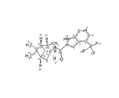 C[C@@H]1[C@@H](NC(=O)c2cc3c(C(F)(F)F)cncc3[nH]2)C[C@H]2C[C@@H]1C2(C)C